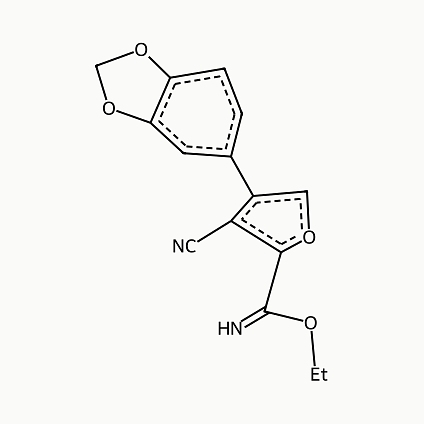 CCOC(=N)c1occ(-c2ccc3c(c2)OCO3)c1C#N